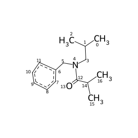 CC(C)CN(Cc1ccccc1)C(=O)C(C)C